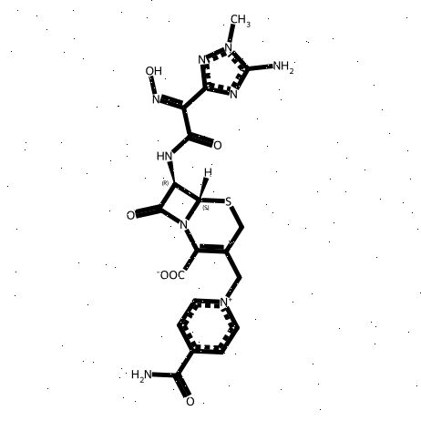 Cn1nc(C(=NO)C(=O)N[C@@H]2C(=O)N3C(C(=O)[O-])=C(C[n+]4ccc(C(N)=O)cc4)CS[C@@H]23)nc1N